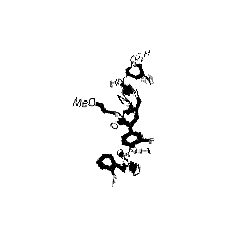 COCCn1c(=O)c(-c2ccc(NS(=O)(=O)Cc3ccccc3F)c(F)c2)cc2cnc(N[C@H]3C[C@H](F)CN(C(=O)O)C3)nc21